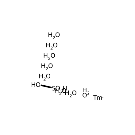 O.O.O.O.O.O.O.O.O=S(=O)(O)O.[Tm]